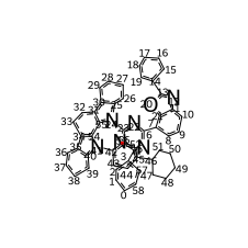 c1ccc(-c2nc(-c3cccc4nc(-c5ccccc5)oc34)nc(-n3c4ccccc4c4ccc5c6ccccc6n(-c6ccc(C7CCCCC7)cc6)c5c43)n2)cc1